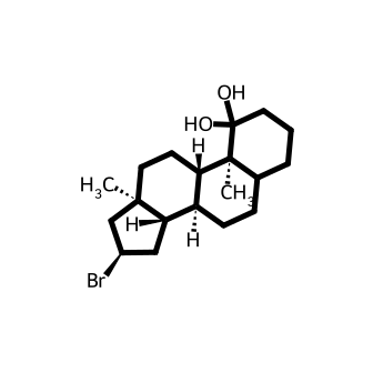 C[C@]12CC[C@H]3[C@@H](CCC4CCCC(O)(O)[C@@]43C)[C@@H]1C[C@@H](Br)C2